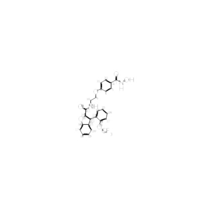 O=C(NO)c1ccc(OCCNC(=O)c2oc3ccccc3c2-c2ccccc2OC(F)(F)F)cc1